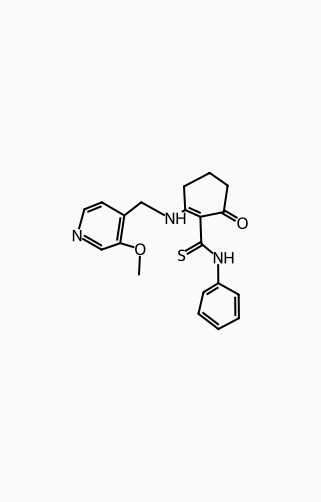 COc1cnccc1CNC1=C(C(=S)Nc2ccccc2)C(=O)CCC1